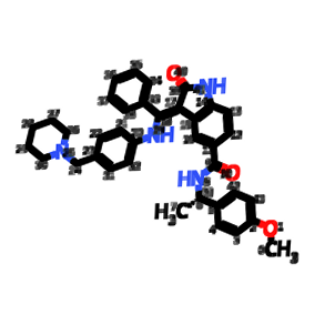 COc1ccc([C@H](C)NC(=O)c2ccc3c(c2)C(=C(Nc2ccc(CN4CCCCC4)cc2)c2ccccc2)C(=O)N3)cc1